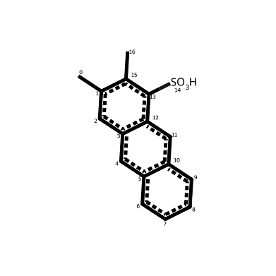 Cc1cc2cc3ccccc3cc2c(S(=O)(=O)O)c1C